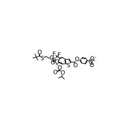 CC(C)OC(=O)OCOP(=O)(OCCSC(=O)C(C)(C)C)C(F)(F)c1ccc2sc(C(=O)Oc3ccc([N+](=O)[O-])cc3)cc2c1